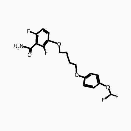 NC(=O)c1c(F)ccc(OCCCCOc2ccc(OC(F)F)cc2)c1F